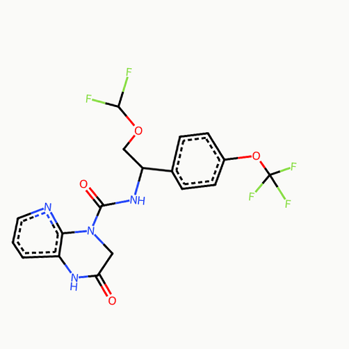 O=C1CN(C(=O)NC(COC(F)F)c2ccc(OC(F)(F)F)cc2)c2ncccc2N1